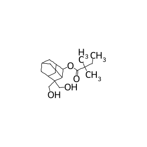 CCC(C)(C)C(=O)OC1C2CC3CC(C2)C(CO)(CO)C1C3